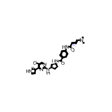 CN(C)C/C=C/C(=O)Nc1ccc(C(=O)N[C@@H]2CCC(Nc3ncc(Cl)c(-c4cc[nH]n4)n3)C2)cc1